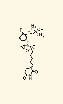 CC(C)(O)COc1cc(C2(NS(=O)(=O)CCCCCN3CCC(=O)NC3=O)CC2)ccc1F